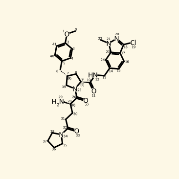 COc1ccc(C[C@@H]2C[C@@H](C(=O)NCc3ccc4c(Cl)nn(C)c4c3)N(C(=O)[C@H](N)CCC(=O)N3CCCC3)C2)cc1